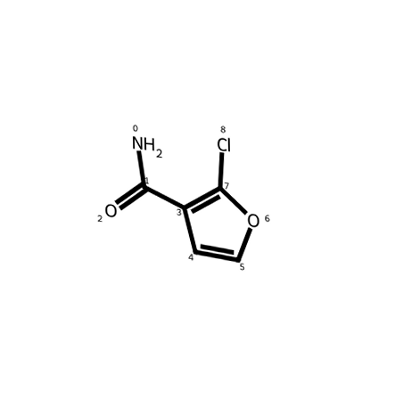 NC(=O)c1ccoc1Cl